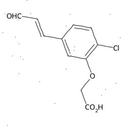 O=C/C=C/c1ccc(Cl)c(OCC(=O)O)c1